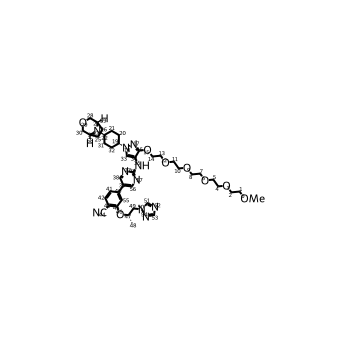 COCCOCCOCCOCCOCCOc1nn([C@H]2CC[C@H](N3[C@@H]4CC[C@H]3COC4)CC2)cc1Nc1ncc(-c2ccc(C#N)c(O[C@@H](C)Cn3cncn3)c2)cn1